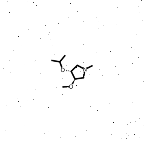 CO[C@@H]1CN(C)C[C@H]1OC(C)C